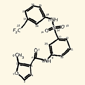 Cc1occc1C(=O)Nc1cccc(S(=O)(=O)Nc2cccc(C(F)(F)F)c2)c1